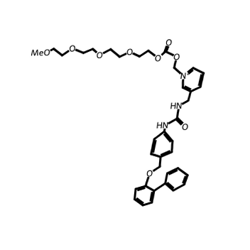 COCCOCCOCCOCCOC(=O)OC[n+]1cccc(CNC(=O)Nc2ccc(COc3ccccc3-c3ccccc3)cc2)c1